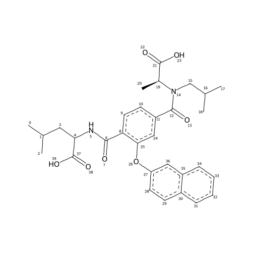 CC(C)CC(NC(=O)c1ccc(C(=O)N(CC(C)C)[C@@H](C)C(=O)O)cc1Oc1ccc2ccccc2c1)C(=O)O